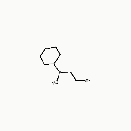 CCCCP(CCC(C)C)C1CCCCC1